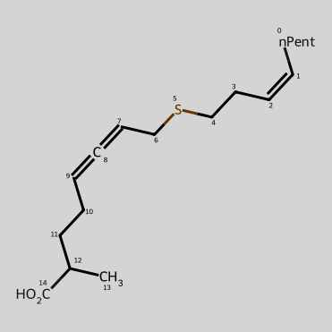 CCCCC/C=C\CCSCC=C=CCCC(C)C(=O)O